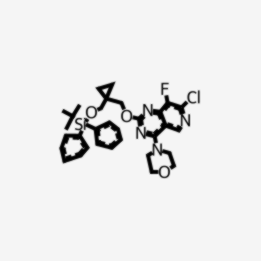 CC(C)(C)[Si](OCC1(COc2nc(N3CCOCC3)c3cnc(Cl)c(F)c3n2)CC1)(c1ccccc1)c1ccccc1